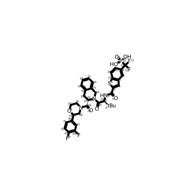 CC(C)(C)[C@H](NC(=O)c1cc2cc(C(F)(F)P(=O)(O)O)ccc2s1)C(=O)N1Cc2ccccc2C[C@H]1C(=O)N1CCOC(c2ccc(F)c(F)c2)C1